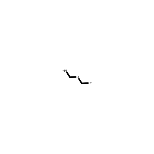 CCCOC[NH]